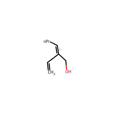 C=C/C(=C\CCC)CO